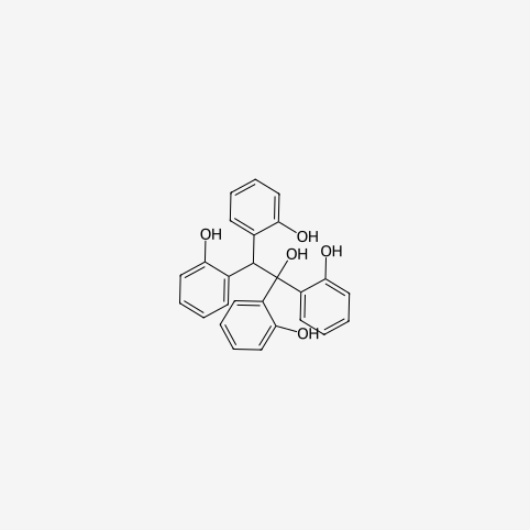 Oc1ccccc1C(c1ccccc1O)C(O)(c1ccccc1O)c1ccccc1O